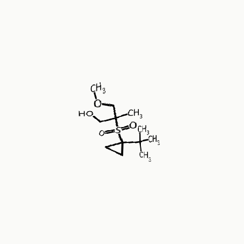 COCC(C)(CO)S(=O)(=O)C1(C(C)(C)C)CC1